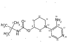 CC(C)(C)NC(=O)OC1CCCN(c2ccncc2N)C1